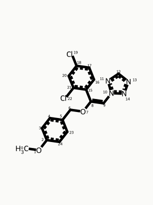 COc1ccc(CO/C(=C/n2ncnn2)c2ccc(Cl)cc2Cl)cc1